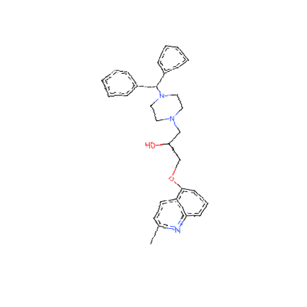 Cc1ccc2c(OCC(O)CN3CCN(C(c4ccccc4)c4ccccc4)CC3)cccc2n1